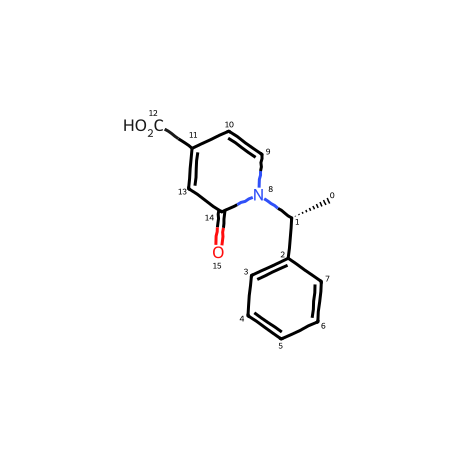 C[C@H](c1ccccc1)n1ccc(C(=O)O)cc1=O